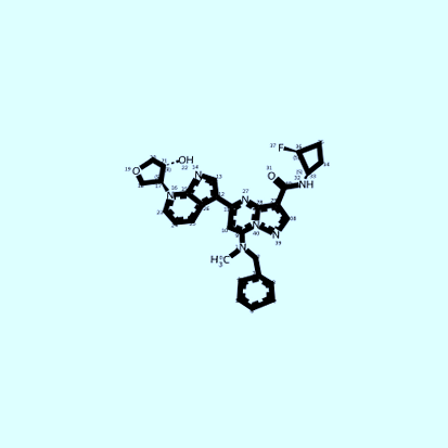 CN(Cc1ccccc1)c1cc(-c2cnc3n([C@H]4COC[C@@H]4O)cccc2-3)nc2c(C(=O)N[C@H]3CC[C@@H]3F)cnn12